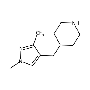 Cn1cc(CC2CCNCC2)c(C(F)(F)F)n1